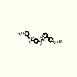 CCOC(=O)N1CC=C(c2cccn3nc(Nc4ccc(C(=O)NCC5CCCN(C)C5)cc4)nc23)CC1